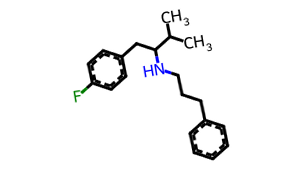 CC(C)C(Cc1ccc(F)cc1)NCCCc1ccccc1